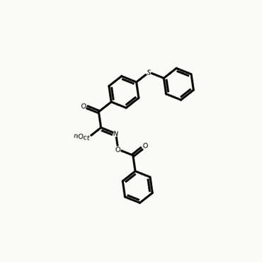 CCCCCCCC/C(=N\OC(=O)c1ccccc1)C(=O)c1ccc(Sc2ccccc2)cc1